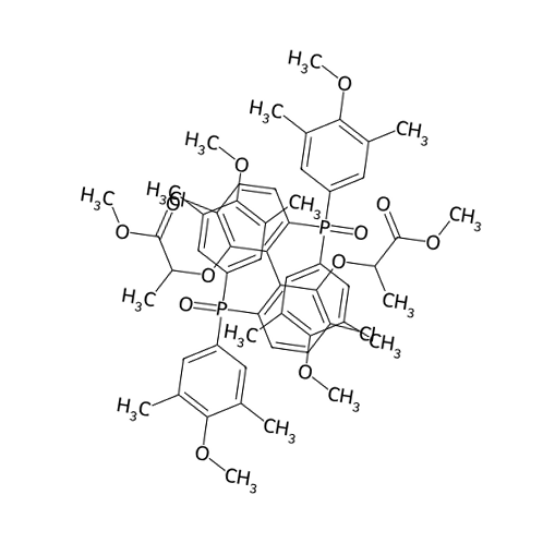 COC(=O)C(C)Oc1c(Cl)ccc(P(=O)(c2cc(C)c(OC)c(C)c2)c2cc(C)c(OC)c(C)c2)c1-c1c(P(=O)(c2cc(C)c(OC)c(C)c2)c2cc(C)c(OC)c(C)c2)ccc(Cl)c1OC(C)C(=O)OC